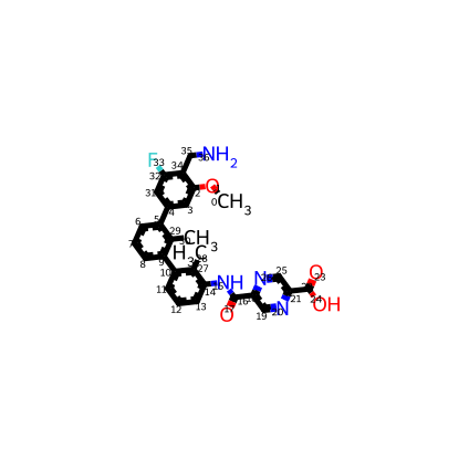 COc1cc(-c2cccc(-c3cccc(NC(=O)c4cnc(C(=O)O)cn4)c3C)c2C)cc(F)c1CN